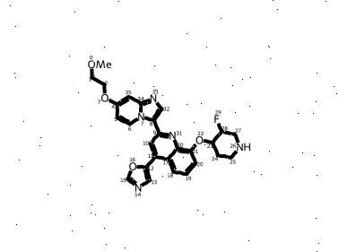 COCCOc1ccn2c(-c3cc(-c4cnco4)c4cccc(OC5CCNCC5F)c4n3)cnc2c1